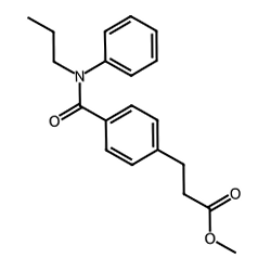 CCCN(C(=O)c1ccc(CCC(=O)OC)cc1)c1ccccc1